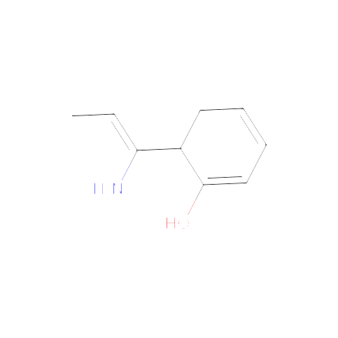 C/C=C(\N)C1CC=CC=C1O